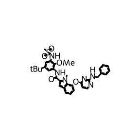 COc1c(NC(=O)c2cc3cccc(Oc4ccnc(NCc5ccccc5)n4)c3n2C)cc(C(C)(C)C)cc1NS(C)(=O)=O